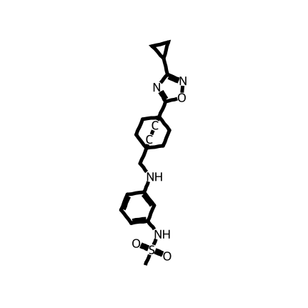 CS(=O)(=O)Nc1cccc(NCC23CCC(c4nc(C5CC5)no4)(CC2)CC3)c1